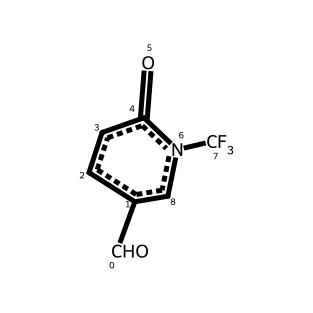 O=Cc1ccc(=O)n(C(F)(F)F)c1